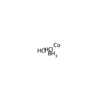 B.Cl.Cl.[Co]